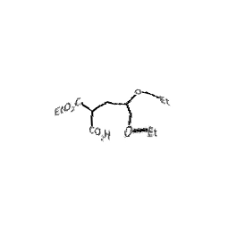 CCOC(=O)C(CC(OCC)OCC)C(=O)O